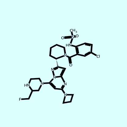 CS(=O)(=O)Nc1ccc(Cl)cc1C(=O)N1CCCC[C@H]1c1cc2nc(N3CCC3)cc(N3CCNC(CF)C3)n2n1